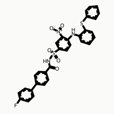 O=C(NS(=O)(=O)c1ccc(Nc2ccccc2Sc2ccccc2)c([N+](=O)[O-])c1)c1ccc(-c2ccc(F)cc2)cc1